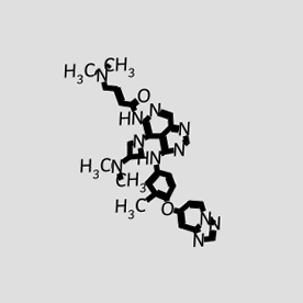 Cc1cc(Nc2ncnc3cnc(NC(=O)C=CCN(C)C)c(N4CC(N(C)C)C4)c23)ccc1Oc1ccn2ncnc2c1